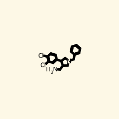 NCC1CN(Cc2ccccc2)CC1c1ccc(Cl)c(Cl)c1